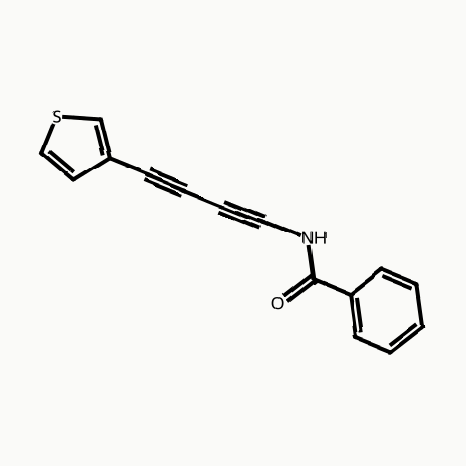 O=C(NC#CC#Cc1ccsc1)c1ccccc1